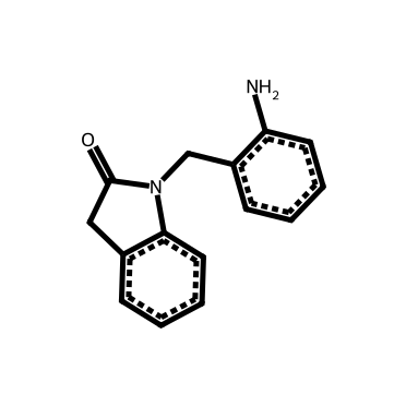 Nc1ccccc1CN1C(=O)Cc2ccccc21